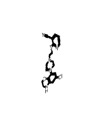 N#Cc1cccnc1SCCN1CCN(c2cc(Cl)cc3c2OCCN3)CC1